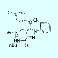 CCCCNC(=O)c1nn(-c2ccccc2Cl)c(Oc2ccc(Cl)cc2)c1CNC(C)C